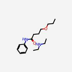 CCCOCCCC(=O)Nc1ccccc1.CCNCC